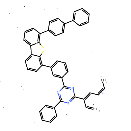 C=C/C(=C\C=C/C)c1nc(-c2ccccc2)nc(-c2cccc(-c3cccc4c3sc3c(-c5ccc(-c6ccccc6)cc5)cccc34)c2)n1